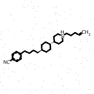 C=CCCC[SiH]1CCC([C@H]2CC[C@H](CCCCc3ccc(C#N)cc3)CC2)CC1